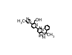 Cc1cn(-c2ccc(-c3cc(C(C)C)c(N[C@@H](C)c4ccccc4)nn3)nc2CO)cn1